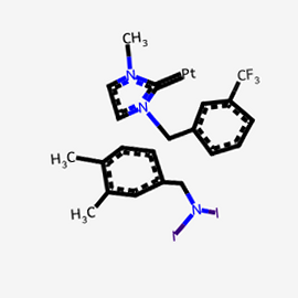 Cc1ccc(CN(I)I)cc1C.Cn1ccn(Cc2cccc(C(F)(F)F)c2)[c]1=[Pt]